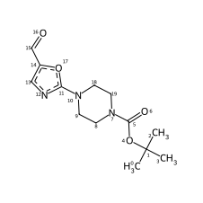 CC(C)(C)OC(=O)N1CCN(c2ncc(C=O)o2)CC1